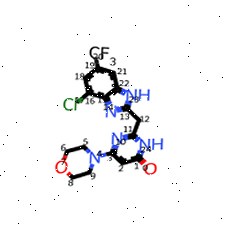 O=c1cc(N2CCOCC2)nc(Cc2nc3c(Cl)cc(C(F)(F)F)cc3[nH]2)[nH]1